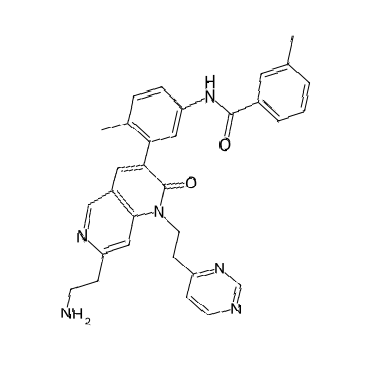 Cc1cccc(C(=O)Nc2ccc(C)c(-c3cc4cnc(CCN)cc4n(CCc4ccncn4)c3=O)c2)c1